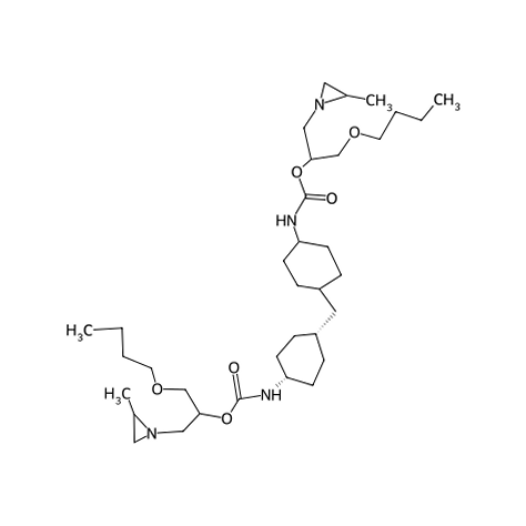 CCCCOCC(CN1CC1C)OC(=O)NC1CCC(C[C@H]2CC[C@@H](NC(=O)OC(COCCCC)CN3CC3C)CC2)CC1